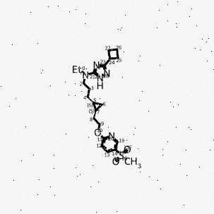 CCN(CCC[C@H]1C[C@H]1CCOc1ccc(S(C)(=O)=O)cn1)c1nc(C2CCC2)n[nH]1